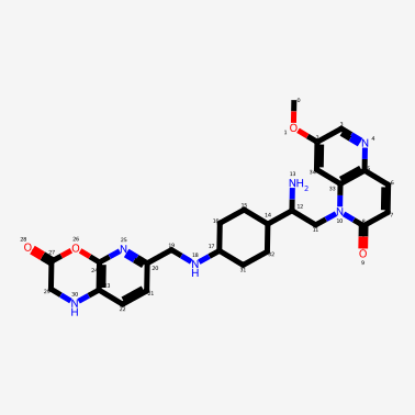 COc1cnc2ccc(=O)n(CC(N)C3CCC(NCc4ccc5c(n4)OC(=O)CN5)CC3)c2c1